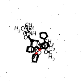 COc1ccc(C2CCCCC2)c2c1cc1n2CC2=C(C(=O)NS(=O)(=O)N(C)C)C2=C2C=CC[C@@H](C(=O)N3C4CCC3CC(NCCN(C)C)C4)C21